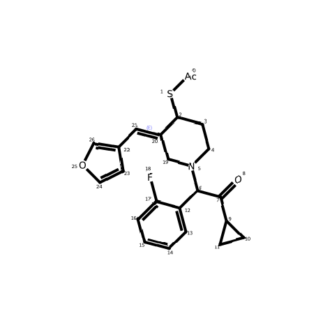 CC(=O)SC1CCN(C(C(=O)C2CC2)c2ccccc2F)C/C1=C\c1ccoc1